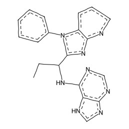 CCC(Nc1ncnc2nc[nH]c12)c1nc2ncccc2n1-c1ccccc1